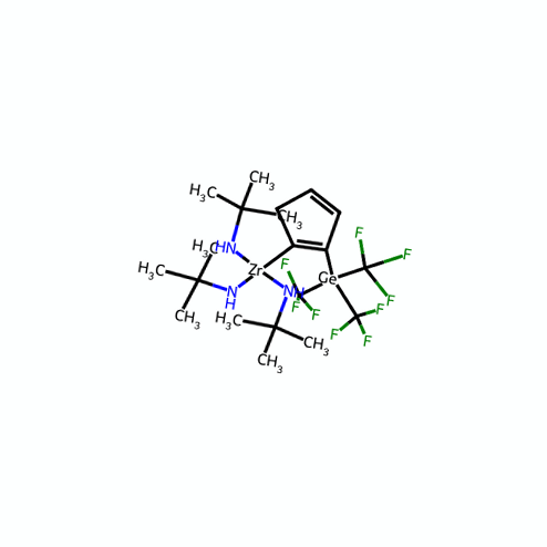 CC(C)(C)[NH][Zr]([NH]C(C)(C)C)([NH]C(C)(C)C)[C]1=[C]([Ge]([C](F)(F)F)([C](F)(F)F)[C](F)(F)F)C=CC1